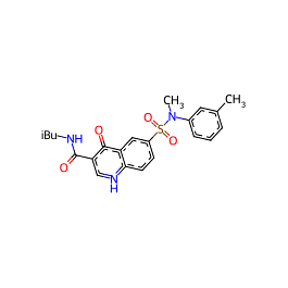 CCC(C)NC(=O)c1c[nH]c2ccc(S(=O)(=O)N(C)c3cccc(C)c3)cc2c1=O